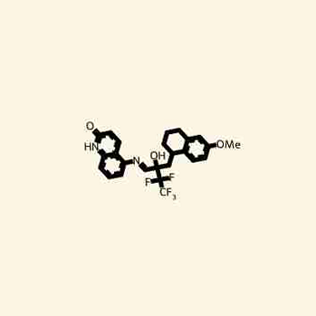 COc1ccc2c(c1)CCCC2CC(O)(C=Nc1cccc2[nH]c(=O)ccc12)C(F)(F)C(F)(F)F